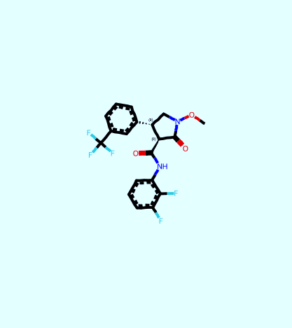 CON1C[C@@H](c2cccc(C(F)(F)F)c2)[C@H](C(=O)Nc2cccc(F)c2F)C1=O